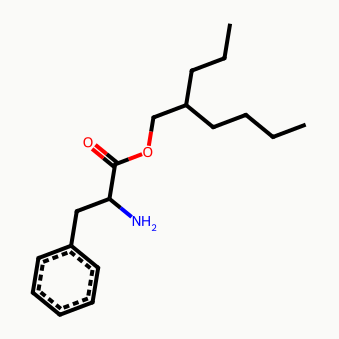 CCCCC(CCC)COC(=O)C(N)Cc1ccccc1